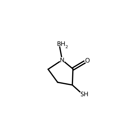 BN1CCC(S)C1=O